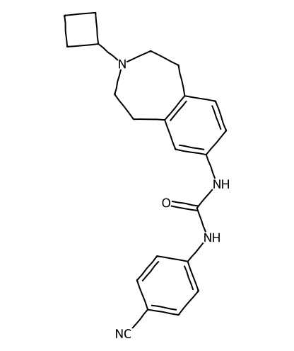 N#Cc1ccc(NC(=O)Nc2ccc3c(c2)CCN(C2CCC2)CC3)cc1